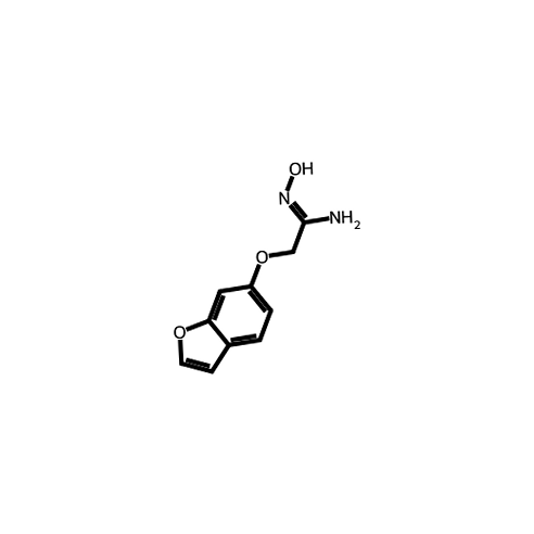 NC(COc1ccc2ccoc2c1)=NO